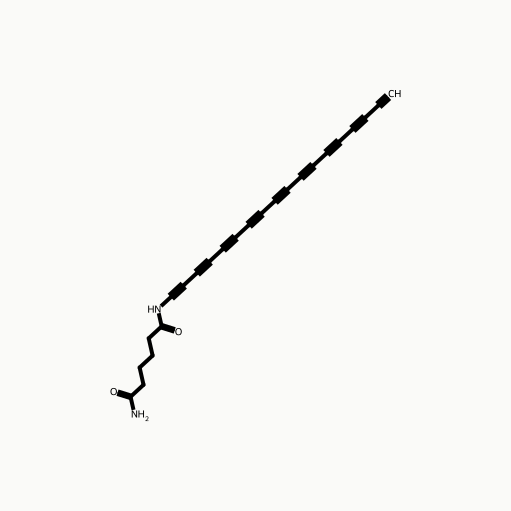 C#CC#CC#CC#CC#CC#CC#CC#CC#CNC(=O)CCCCC(N)=O